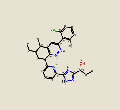 CCC1CC(c2cccc(-c3nc([C@H](O)CC)n[nH]3)n2)c2nnc(-c3c(F)cccc3F)cc2C1C